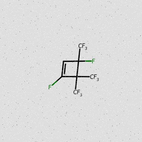 FC1=CC(F)(C(F)(F)F)C1(C(F)(F)F)C(F)(F)F